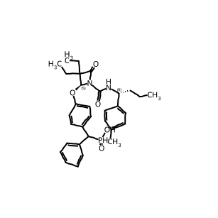 CCC[C@@H](NC(=O)N1C(=O)C(CC)(CC)[C@@H]1Oc1ccc(C(c2ccccc2)[PH](=O)O)cc1)c1ccc(C)cc1